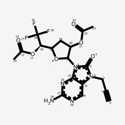 C#CCn1c(=O)n(C2OC([C@@H](OC(C)=O)C(F)(F)F)CC2OC(C)=O)c2nc(N)ncc21